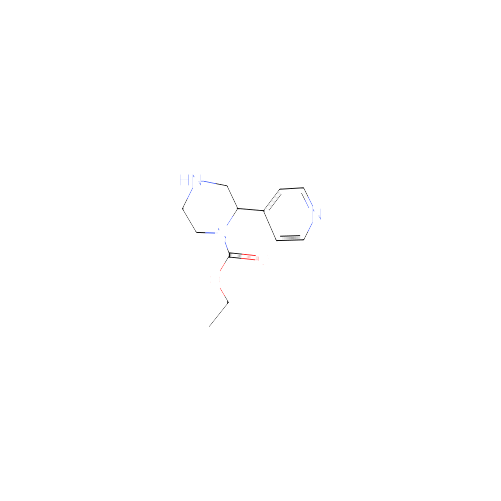 CCOC(=O)N1CCNCC1c1ccncc1